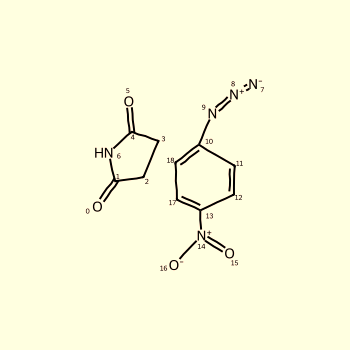 O=C1CCC(=O)N1.[N-]=[N+]=Nc1ccc([N+](=O)[O-])cc1